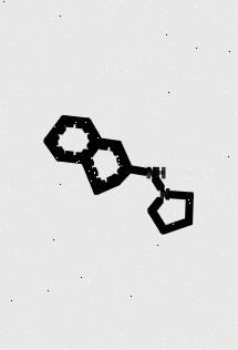 c1ccc2cc(NN3CCCC3)ccc2c1